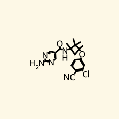 CC1(NC(=O)c2cnc(N)nc2)CC(C)(Oc2ccc(C#N)c(Cl)c2)C1(C)C